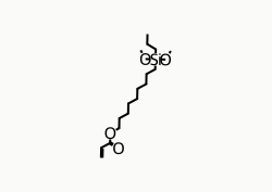 C=CC(=O)OCCCCCCCCC[Si](CCC)(OC)OC